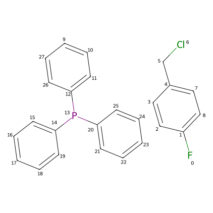 Fc1ccc(CCl)cc1.c1ccc(P(c2ccccc2)c2ccccc2)cc1